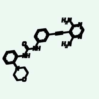 Nc1ncnc(N)c1C#Cc1cccc(NC(=O)Nc2ccccc2N2CCOCC2)c1